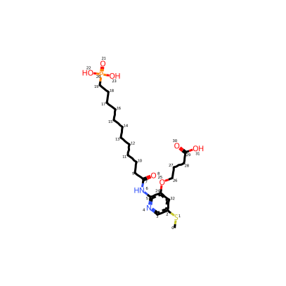 CSc1cnc(NC(=O)CCCCCCCCCCCP(=O)(O)O)c(OCCCC(=O)O)c1